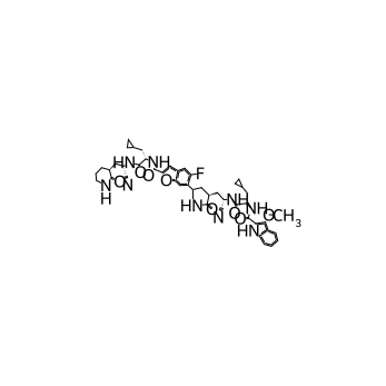 COc1c(C(=O)N[C@@H](CC2CC2)C(=O)N[C@H](C#N)C[C@@H]2CC(c3cc4oc(C(=O)N[C@@H](CC5CC5)C(=O)N[C@H](C#N)C[C@@H]5CCCNC5=O)cc4cc3F)CNC2=O)[nH]c2ccccc12